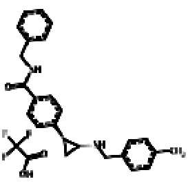 Cc1ccc(CN[C@@H]2C[C@H]2c2ccc(C(=O)NCc3ccccc3)cc2)cc1.O=C(O)C(F)(F)F